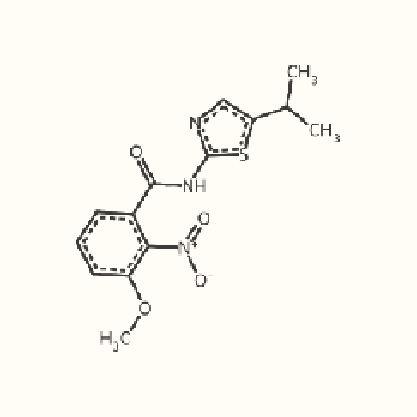 COc1cccc(C(=O)Nc2ncc(C(C)C)s2)c1[N+](=O)[O-]